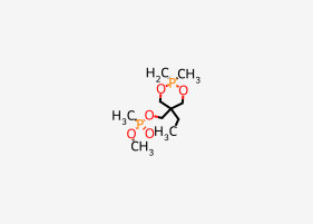 C=P1(C)OCC(CC)(COP(C)(=O)OC)CO1